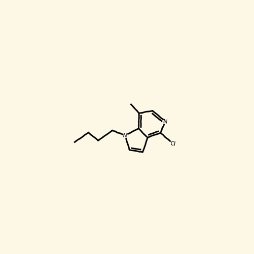 CCCCn1ccc2c(Cl)ncc(C)c21